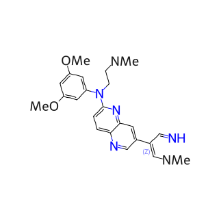 CN/C=C(\C=N)c1cnc2ccc(N(CCNC)c3cc(OC)cc(OC)c3)nc2c1